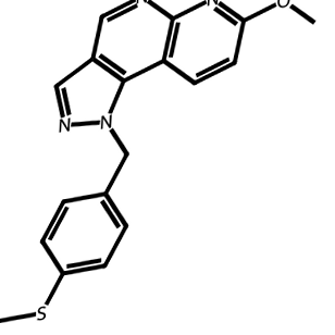 COc1ccc2c(ncc3cnn(Cc4ccc(SC)cc4)c32)n1